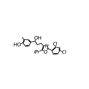 Cc1cc(C(O)CCc2nc(-c3ccc(Cl)cc3Cl)oc2C(C)C)ccc1O